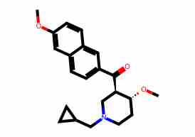 COc1ccc2cc(C(=O)[C@@H]3CN(CC4CC4)CC[C@H]3OC)ccc2c1